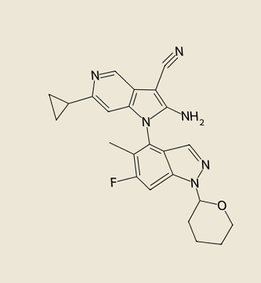 Cc1c(F)cc2c(cnn2C2CCCCO2)c1-n1c(N)c(C#N)c2cnc(C3CC3)cc21